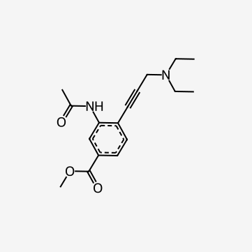 CCN(CC)CC#Cc1ccc(C(=O)OC)cc1NC(C)=O